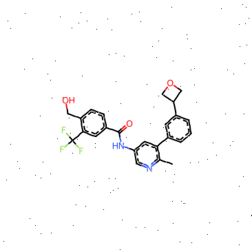 Cc1ncc(NC(=O)c2ccc(CO)c(C(F)(F)F)c2)cc1-c1cccc(C2COC2)c1